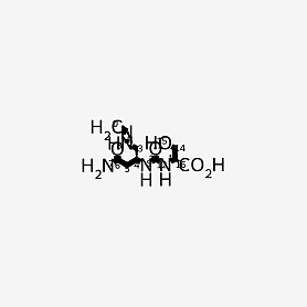 C=NNC[C@H](CC(N)=O)NC(=O)N[C@@H](CO)C(=O)O